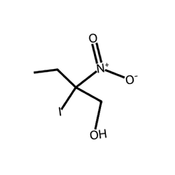 CCC(I)(CO)[N+](=O)[O-]